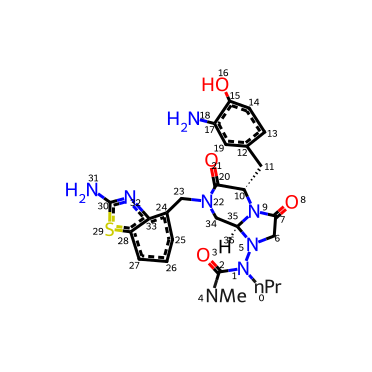 CCCN(C(=O)NC)N1CC(=O)N2[C@@H](Cc3ccc(O)c(N)c3)C(=O)N(Cc3cccc4sc(N)nc34)C[C@@H]21